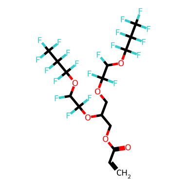 C=CC(=O)OCC(COC(F)(F)C(F)OC(F)(F)C(F)(F)C(F)(F)F)OC(F)(F)C(F)OC(F)(F)C(F)(F)C(F)(F)F